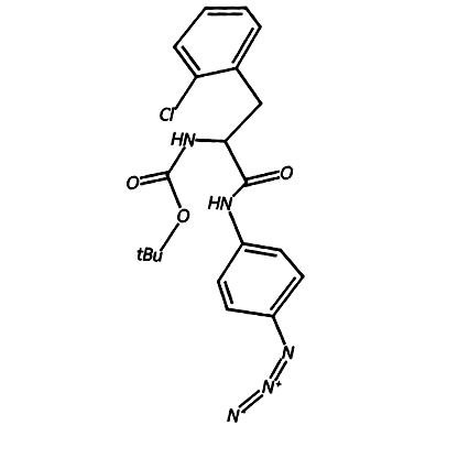 CC(C)(C)OC(=O)NC(Cc1ccccc1Cl)C(=O)Nc1ccc(N=[N+]=[N-])cc1